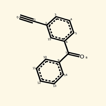 [C]#Cc1cccc(C(=O)c2ccccc2)c1